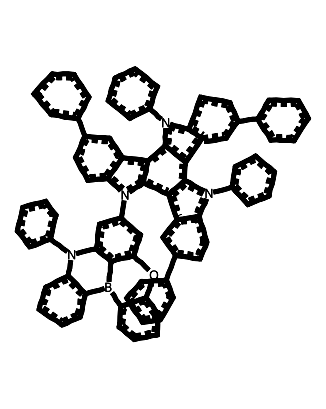 c1ccc(-c2ccc3c(c2)c2c(c4c5cc(-c6ccccc6)ccc5n(-c5cc6c7c(c5)N(c5ccccc5)c5ccccc5B7c5ccccc5O6)c4c4c5cc(-c6ccccc6)ccc5n(-c5ccccc5)c24)n3-c2ccccc2)cc1